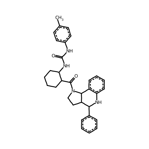 Cc1ccc(NC(=O)NC2CCCCC2C(=O)N2CCC3C(c4ccccc4)Nc4ccccc4C32)cc1